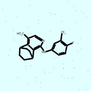 O=C(O)c1cnc(Nc2ccc(F)c(C(F)(F)F)c2)c2c1C1CCC2CC1